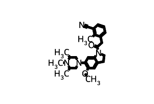 COc1cc2c(cc1N1CC(C)N(C)C(C)C1)N(C(=O)Cc1cccc(C#N)c1C)CC2